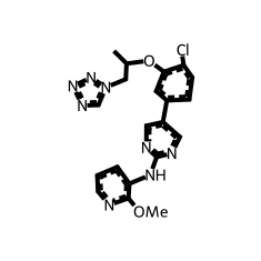 COc1ncccc1Nc1ncc(-c2ccc(Cl)c(OC(C)Cn3cnnn3)c2)cn1